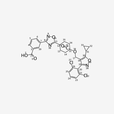 O=C(O)c1cccc(-c2noc(C34CCC(OCc5c(-c6c(Cl)cccc6Cl)noc5C5CC5)(CC3)CO4)n2)c1